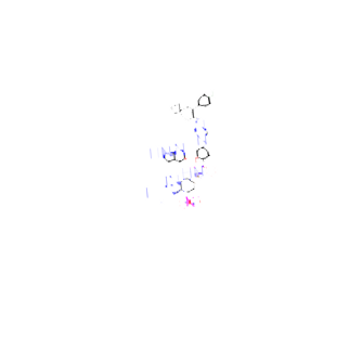 N=C1C=C(SNC(=O)c2ccc(N3CCN(CC4=C(c5ccc(Cl)cc5)CC5(CCC5)CC4)CC3)cc2Oc2cnc3[nH]ccc3c2)C=C([N+](=O)[O-])/C1=C/N